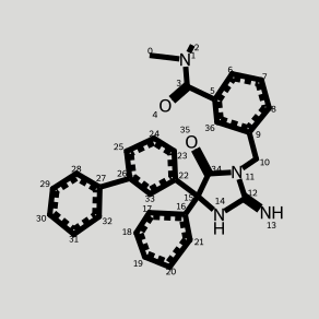 CN(C)C(=O)c1cccc(CN2C(=N)NC(c3ccccc3)(c3cccc(-c4ccccc4)c3)C2=O)c1